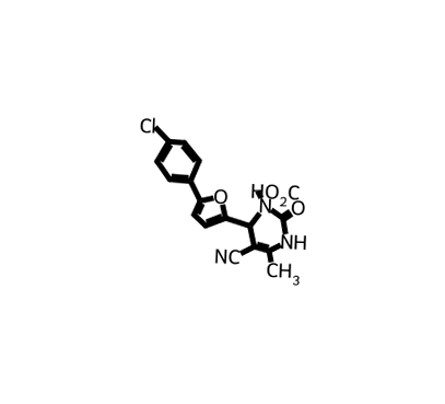 CC1=C(C#N)C(c2ccc(-c3ccc(Cl)cc3)o2)N(C(=O)O)C(=O)N1